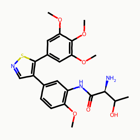 COc1ccc(-c2cnsc2-c2cc(OC)c(OC)c(OC)c2)cc1NC(=O)[C@@H](N)C(C)O